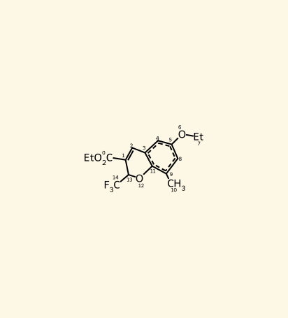 CCOC(=O)C1=Cc2cc(OCC)cc(C)c2OC1C(F)(F)F